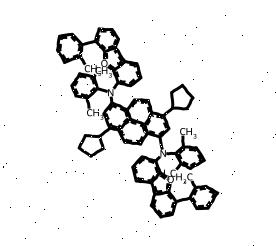 Cc1ccccc1-c1cccc2c1oc1c(N(c3c(C)cccc3C)c3cc(C4CCCC4)c4ccc5c(N(c6c(C)cccc6C)c6cccc7c6oc6c(-c8ccccc8C)cccc67)cc(C6CCCC6)c6ccc3c4c65)cccc12